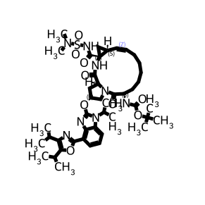 CC(C)c1nc(-c2cccc3c2nc(O[C@@H]2C[C@H]4C(=O)N[C@]5(C(=O)NS(=O)(=O)N(C)C)C[C@H]5/C=C\CCCCC[C@H](NC(=O)OC(C)(C)C)C(=O)N4C2)n3C(C)C)oc1C(C)C